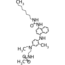 CCCCCCCCNC(=O)Nc1ccc(Nc2ccc(N(CC)CCNS(C)(=O)=O)cc2C)c2ccccc12